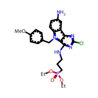 CCOP(=O)(CCCNc1nc(Cl)nc2c3cc(N)ccc3n(Cc3ccc(OC)cc3)c12)OCC